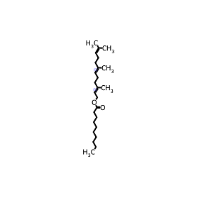 CCCCCCCCCC(=O)OC/C=C(\C)CC/C=C(\C)CCC=C(C)C